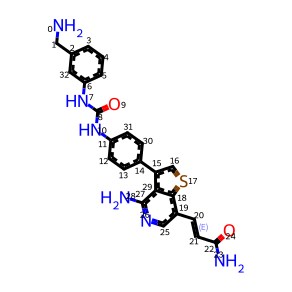 NCc1cccc(NC(=O)Nc2ccc(-c3csc4c(/C=C/C(N)=O)cnc(N)c34)cc2)c1